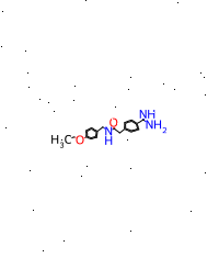 CCOc1ccc(CNC(=O)Cc2ccc(C(=N)N)cc2)cc1